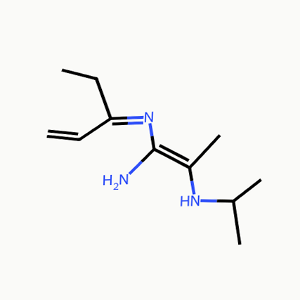 C=C/C(CC)=N\C(N)=C(/C)NC(C)C